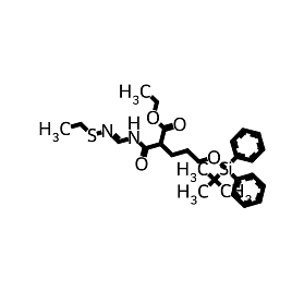 CCOC(=O)C(CCCO[Si](c1ccccc1)(c1ccccc1)C(C)(C)C)C(=O)NC=NSCC